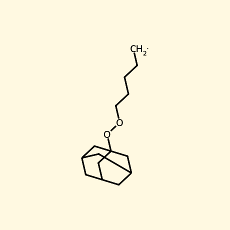 [CH2]CCCCOOC12CC3CC(CC(C3)C1)C2